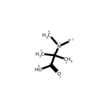 CN(F)C(C)(C)C(=O)O